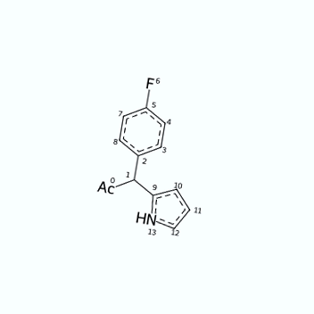 CC(=O)C(c1ccc(F)cc1)c1ccc[nH]1